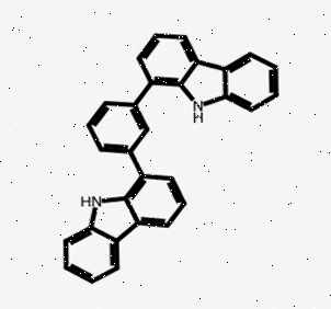 c1cc(-c2cccc3c2[nH]c2ccccc23)cc(-c2cccc3c2[nH]c2ccccc23)c1